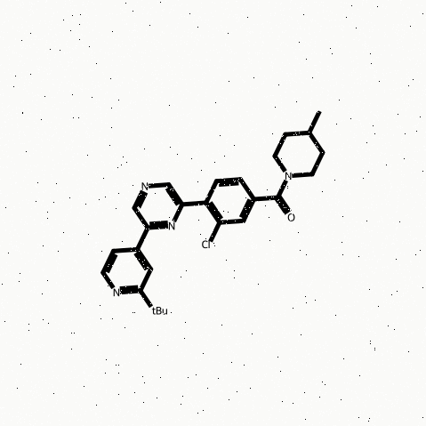 CC1CCN(C(=O)c2ccc(-c3cncc(-c4ccnc(C(C)(C)C)c4)n3)c(Cl)c2)CC1